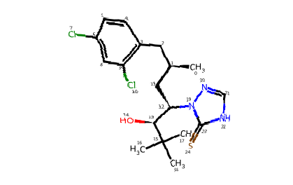 C[C@H](Cc1ccc(Cl)cc1Cl)C[C@H]([C@H](O)C(C)(C)C)n1nc[nH]c1=S